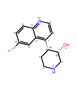 O[C@@H]1CNCC[C@@H]1c1ccnc2ccc(F)cc12